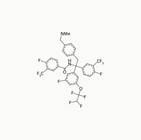 CNCc1ccc(CC(NC(=O)c2ccc(F)c(C(F)(F)F)c2)(c2cc(F)cc(OC(F)(F)C(F)F)c2)c2ccc(F)c(C(F)(F)F)c2)cc1